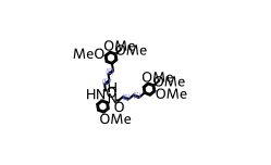 COc1ccc(NC(=O)/C=C/C=C/c2cc(OC)c(OC)c(OC)c2)c(NC(=O)/C=C/C=C/c2cc(OC)c(OC)c(OC)c2)c1